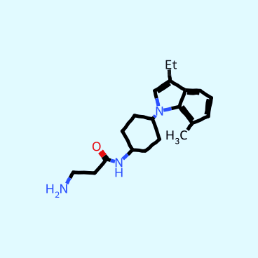 CCc1cn(C2CCC(NC(=O)CCN)CC2)c2c(C)cccc12